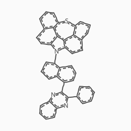 c1ccc(-c2nc3ccccc3nc2-c2cccc3c(-n4c5ccc6cccc7sc8cccc9ccc4c(c98)c5c67)cccc23)cc1